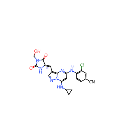 N#Cc1ccc(Nc2cc(NC3CC3)n3ncc(/C=C4\NC(=O)N(CO)C4=O)c3n2)c(Cl)c1